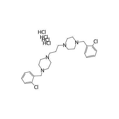 Cl.Cl.Cl.Cl.Clc1ccccc1CN1CCN(CCCN2CCN(Cc3ccccc3Cl)CC2)CC1